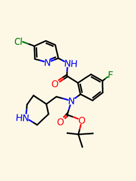 CC(C)(C)OC(=O)N(CC1CCNCC1)c1ccc(F)cc1C(=O)Nc1ccc(Cl)cn1